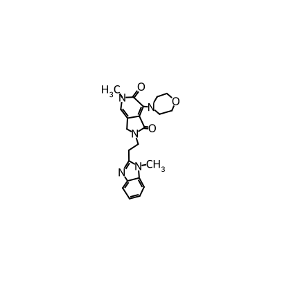 Cn1cc2c(c(N3CCOCC3)c1=O)C(=O)N(CCc1nc3ccccc3n1C)C2